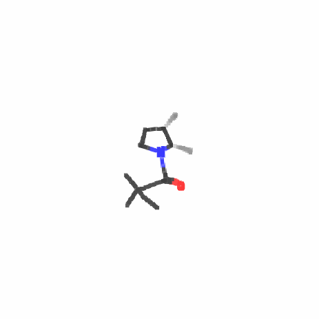 C[C@H]1CCN(C(=O)C(C)(C)C)[C@H]1C